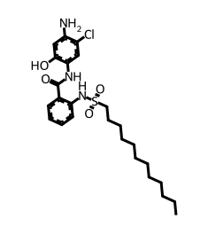 CCCCCCCCCCCCS(=O)(=O)Nc1ccccc1C(=O)Nc1cc(Cl)c(N)cc1O